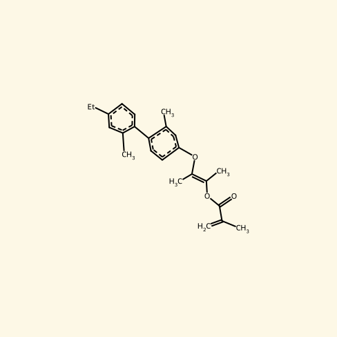 C=C(C)C(=O)O/C(C)=C(\C)Oc1ccc(-c2ccc(CC)cc2C)c(C)c1